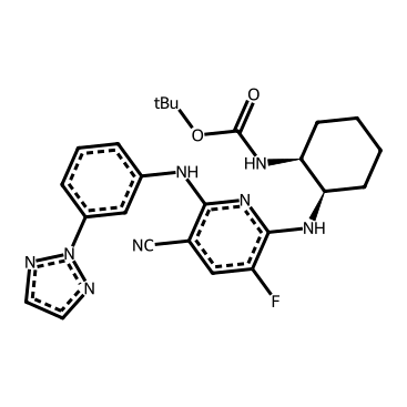 CC(C)(C)OC(=O)N[C@H]1CCCC[C@H]1Nc1nc(Nc2cccc(-n3nccn3)c2)c(C#N)cc1F